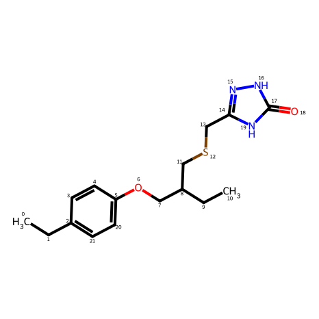 CCc1ccc(OCC(CC)CSCc2n[nH]c(=O)[nH]2)cc1